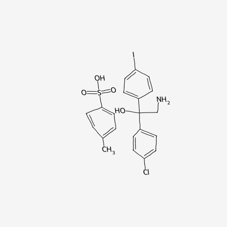 Cc1ccc(S(=O)(=O)O)cc1.NCC(O)(c1ccc(Cl)cc1)c1ccc(I)cc1